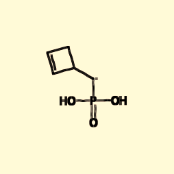 O=P(O)(O)[CH]C1C=CC1